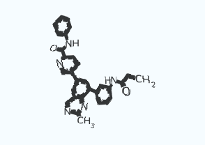 C=CC(=O)Nc1cccc(-c2cc(-c3ccc(C(=O)Nc4ccccc4)nc3)cc3cnc(C)nc23)c1